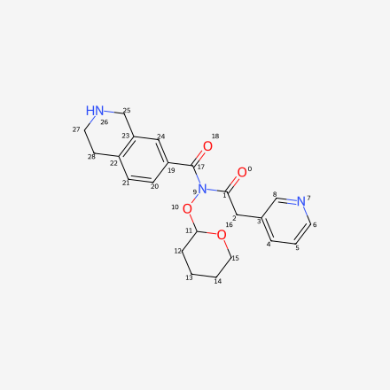 O=C(Cc1cccnc1)N(OC1CCCCO1)C(=O)c1ccc2c(c1)CNCC2